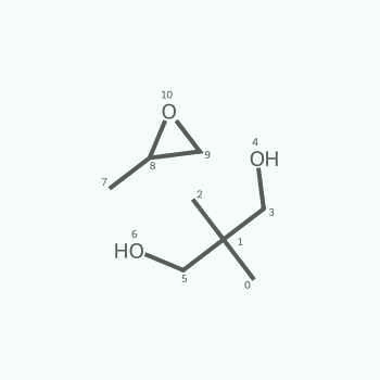 CC(C)(CO)CO.CC1CO1